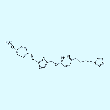 FC(F)(F)Oc1ccc(C=Cc2nc(COc3ccc(CCCCn4ccnc4)nn3)co2)cc1